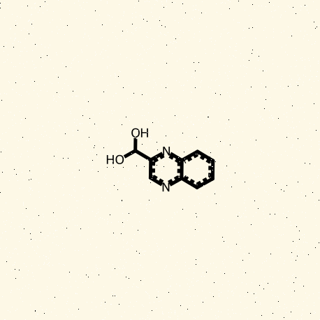 OC(O)c1cnc2ccccc2n1